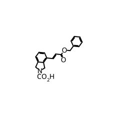 O=C(/C=C/c1cccc2c1CN(C(=O)O)C2)OCc1ccccc1